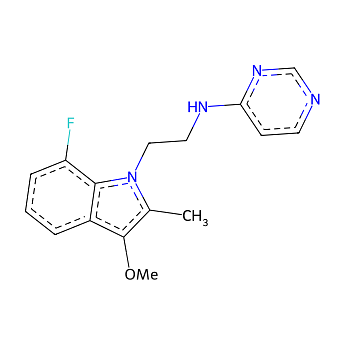 COc1c(C)n(CCNc2ccncn2)c2c(F)cccc12